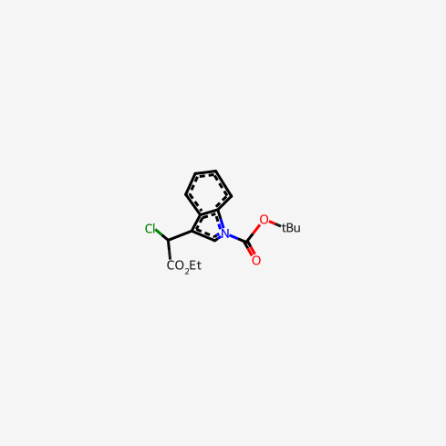 CCOC(=O)C(Cl)c1cn(C(=O)OC(C)(C)C)c2ccccc12